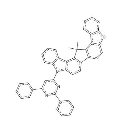 CC1(C)c2c(ccc3oc4ccccc4c23)-c2ccc3c(c21)c1ccccc1n3-c1cc(-c2ccccc2)nc(-c2ccccc2)n1